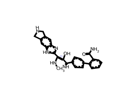 CN/C(=C(/O)C(=N)c1ccc(-c2ccccc2C(N)=O)cc1)c1nc2cc3c(cc2[nH]1)CNC3